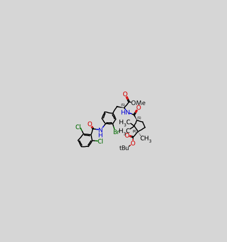 COC(=O)[C@H](Cc1ccc(NC(=O)c2c(Cl)cccc2Cl)c(Br)c1)NC(=O)[C@H]1CC[C@@](C)(C(=O)OC(C)(C)C)C1(C)C